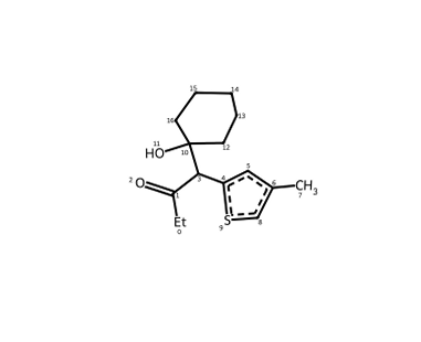 CCC(=O)C(c1cc(C)cs1)C1(O)CCCCC1